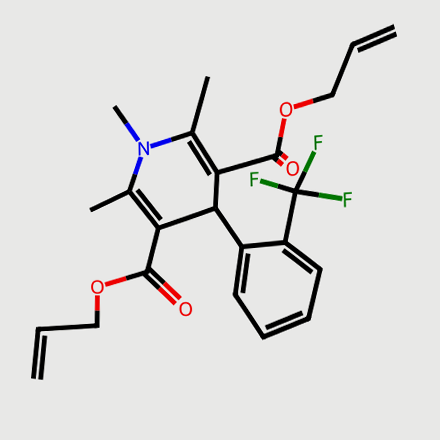 C=CCOC(=O)C1=C(C)N(C)C(C)=C(C(=O)OCC=C)C1c1ccccc1C(F)(F)F